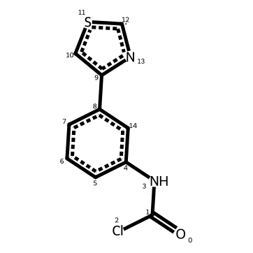 O=C(Cl)Nc1cccc(-c2cs[c]n2)c1